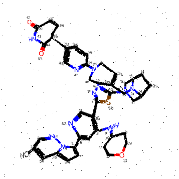 N#Cc1cnn2c(-c3cc(NC4CCOCC4)c(-c4nnc(N5CC6CCC(C5)N6CC5CCN(c6ccc([C@@H]7CCC(=O)NC7=O)cn6)CC5)s4)cn3)ccc2c1